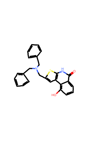 O=c1[nH]c2sc(CN(Cc3ccccc3)Cc3ccccc3)cc2c2c(O)cccc12